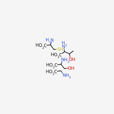 CC(O)C(N)C(=O)O.NC(CO)C(=O)O.NC(CS)C(=O)O.NCC(=O)O